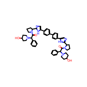 O=C(C(c1ccccc1)N1CCC(O)CC1)N1CCCC1c1ncc(-c2ccc(-c3ccc(-c4cnc(C5CCCN5C(=O)C(c5ccccc5)N5CCC(O)CC5)[nH]4)cc3)cc2)[nH]1